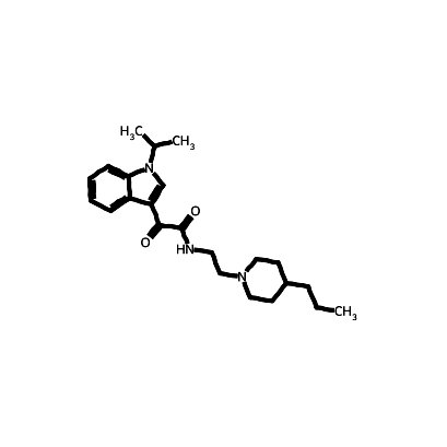 CCCC1CCN(CCNC(=O)C(=O)c2cn(C(C)C)c3ccccc23)CC1